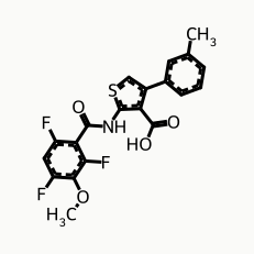 COc1c(F)cc(F)c(C(=O)Nc2scc(-c3cccc(C)c3)c2C(=O)O)c1F